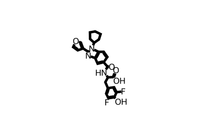 O=C(NC(Cc1cc(F)c(O)c(F)c1)C(=O)O)c1ccc2c(c1)nc(-c1ccoc1)n2C1CCCCC1